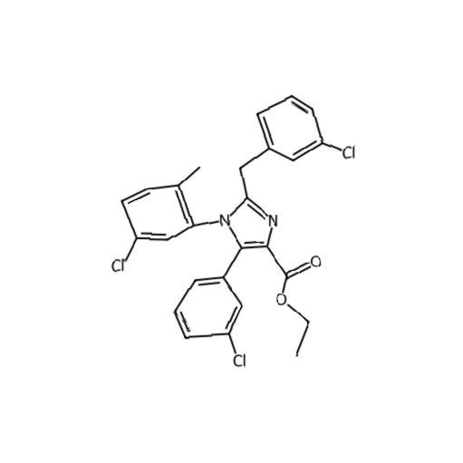 CCOC(=O)c1nc(Cc2cccc(Cl)c2)n(-c2cc(Cl)ccc2C)c1-c1cccc(Cl)c1